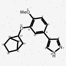 COc1ccc(-c2cn[nH]c2)cc1OC1CC2CCC1C2